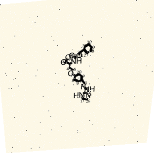 O=C(N[C@@H](CCOc1ccc(C=NNC2=NCCN2)cc1)C(=O)O)OCc1ccccc1